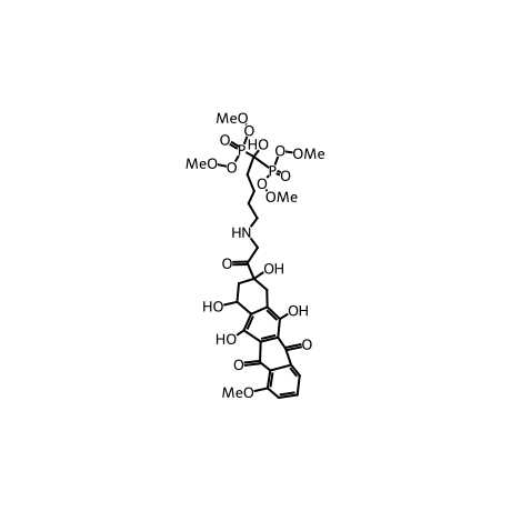 COOP(=O)(OOC)C(O)(CCCCNCC(=O)C1(O)Cc2c(O)c3c(c(O)c2C(O)C1)C(=O)c1c(OC)cccc1C3=O)P(=O)(OOC)OOC